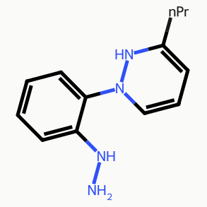 CCCC1=CC=CN(c2ccccc2NN)N1